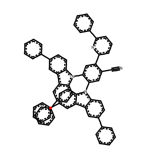 N#Cc1cc(-n2c3ccc(-c4ccccc4)cc3c3cc(-c4ccccc4)ccc32)c(-n2c3ccc(-c4ccccc4)cc3c3cc(-c4ccccc4)ccc32)cc1-c1cccc(-c2ccccc2)n1